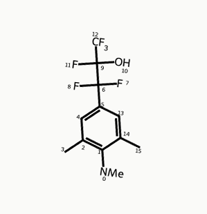 CNc1c(C)cc(C(F)(F)C(O)(F)C(F)(F)F)cc1C